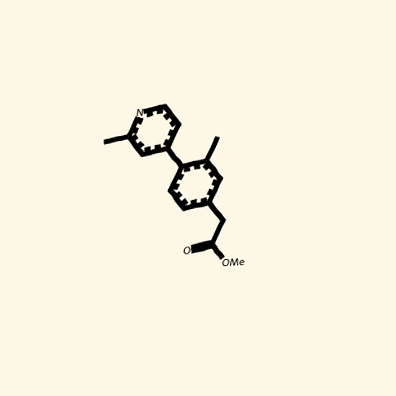 COC(=O)Cc1ccc(-c2ccnc(C)c2)c(C)c1